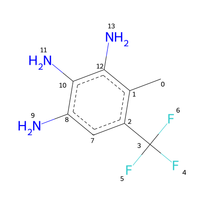 Cc1c(C(F)(F)F)cc(N)c(N)c1N